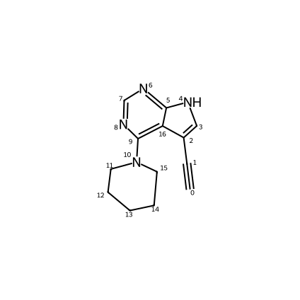 C#Cc1c[nH]c2ncnc(N3CCCCC3)c12